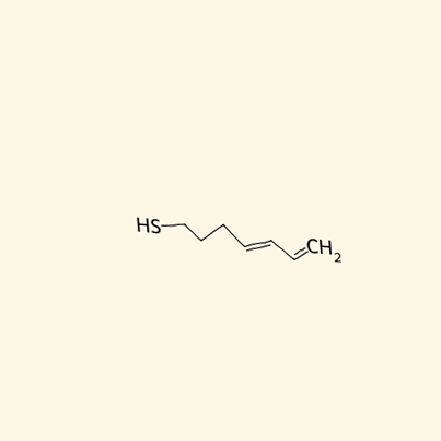 C=CC=CCCCS